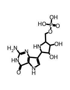 Nc1nc2c(C3NC(COP(=O)(O)O)C(O)C3O)c[nH]c2c(=O)[nH]1